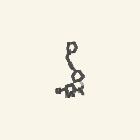 CN(C[C@H]1CC[C@H](C#CCN2CCCCC2)CC1)c1ccc(Cl)nn1